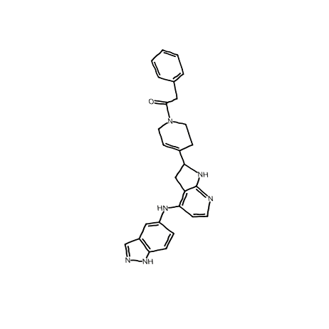 O=C(Cc1ccccc1)N1CC=C(C2Cc3c(Nc4ccc5[nH]ncc5c4)ccnc3N2)CC1